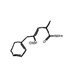 CNC(=O)C(C)/C=C(/CC1=CC=CCC1)OC